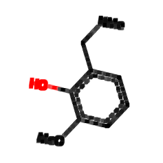 CNCc1cccc(OC)c1O